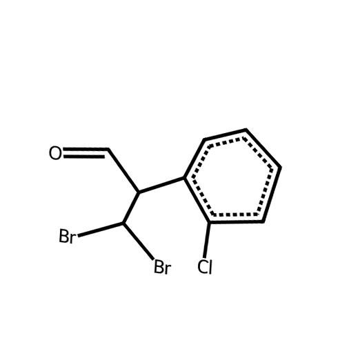 O=CC(c1ccccc1Cl)C(Br)Br